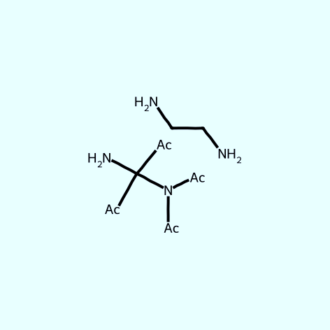 CC(=O)N(C(C)=O)C(N)(C(C)=O)C(C)=O.NCCN